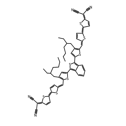 CCCCC(CC)Cc1cc(-c2sc(-c3cc(CC(CC)CCCC)c(/C=c4\cc/c(=c5/ccc(=C(C#N)C#N)s5)s4)s3)c3ccccc23)sc1/C=c1\cc/c(=c2/ccc(=C(C#N)C#N)s2)s1